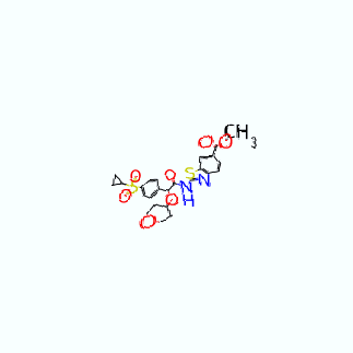 COC(=O)c1ccc2nc(NC(=O)C(OC3CCOCC3)c3ccc(S(=O)(=O)C4CC4)cc3)sc2c1